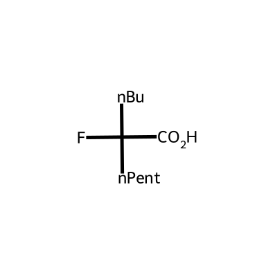 CCCCCC(F)(CCCC)C(=O)O